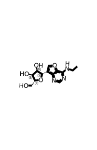 CCNc1ncnc2c([C@@H]3O[C@H](CO)[C@@H](O)[C@H]3O)coc12